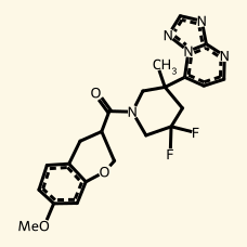 COc1ccc2c(c1)OCC(C(=O)N1CC(F)(F)CC(C)(c3ccnc4ncnn34)C1)C2